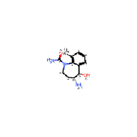 Cc1cccc2c1N(C(N)=O)CC[C@@H](N)[C@@H]2O